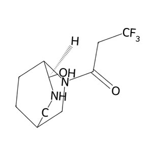 O=C(CC(F)(F)F)N1CC2CCC1[C@@H](O)NC2